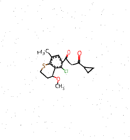 COC1CCSc2c(C)cc(C(=O)CC(=O)C3CC3)c(Cl)c21